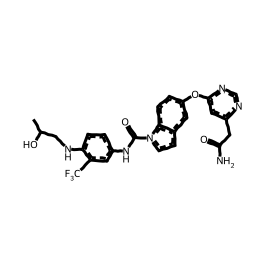 CC(O)CNc1ccc(NC(=O)n2ccc3cc(Oc4cc(CC(N)=O)ncn4)ccc32)cc1C(F)(F)F